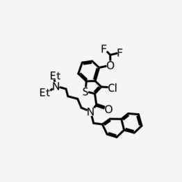 CCN(CC)CCCCN(Cc1ccc2ccccc2c1)C(=O)c1sc2cccc(OC(F)F)c2c1Cl